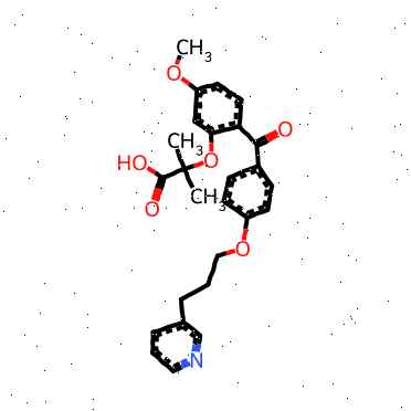 COc1ccc(C(=O)c2ccc(OCCCc3cccnc3)cc2)c(OC(C)(C)C(=O)O)c1